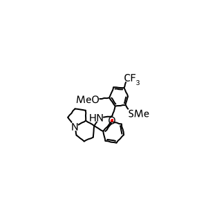 COc1cc(C(F)(F)F)cc(SC)c1C(=O)NC1(c2ccccc2)CCCN2CCCC21